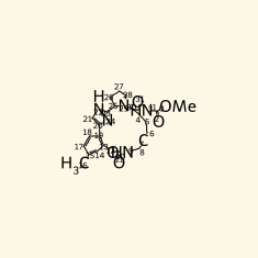 COC(=O)NC1CCCCNC(=O)Oc2cc(C)ccc2-c2c[nH]c(n2)C2CCCN2C1=O